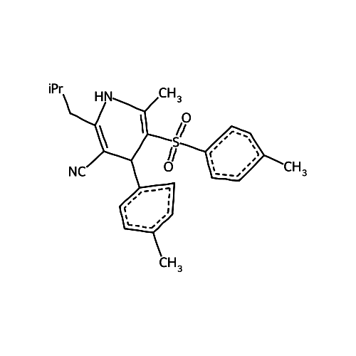 CC1=C(S(=O)(=O)c2ccc(C)cc2)C(c2ccc(C)cc2)C(C#N)=C(CC(C)C)N1